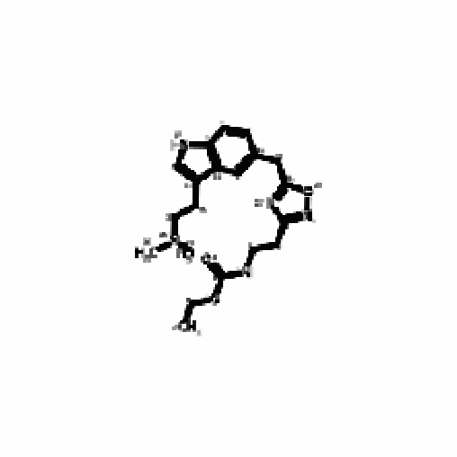 CCOC(=O)NCCc1noc(Cc2ccc3[nH]cc(CCN(C)C)c3c2)n1